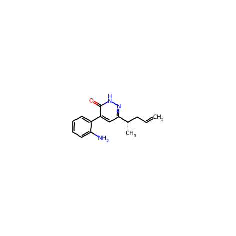 C=CC[C@H](C)c1cc(-c2ccccc2N)c(=O)[nH]n1